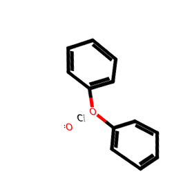 [C].[O].c1ccc(Oc2ccccc2)cc1